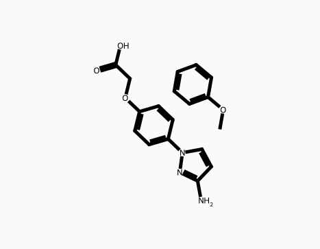 COc1ccccc1.Nc1ccn(-c2ccc(OCC(=O)O)cc2)n1